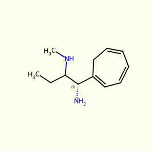 CCC(NC)[C@@H](N)C1=CC=CC=CC1